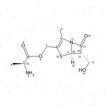 [C]C1=C(COC(=O)[C@H](C)N)S[C@@H]2[C@@H](CO)C(=O)N12